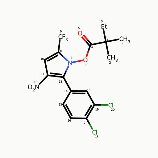 CCC(C)(C)C(=O)On1c(C(F)(F)F)cc([N+](=O)[O-])c1-c1ccc(Cl)c(Cl)c1